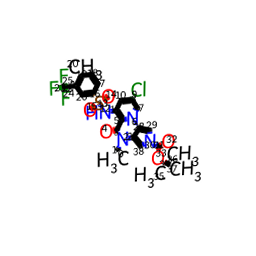 CCN(C(=O)c1ncc(Cl)cc1NS(=O)(=O)c1ccc(C)c(C(F)(F)F)c1)c1ccn(C(=O)OC(C)(C)C)c1